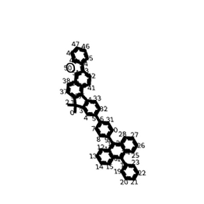 CC1(C)c2cc(-c3ccc(-c4c5ccccc5c(-c5ccccc5)c5ccccc45)cc3)ccc2-c2c1ccc1c2ccc2c3ccccc3oc12